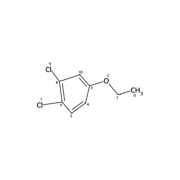 C[CH]Oc1ccc(Cl)c(Cl)c1